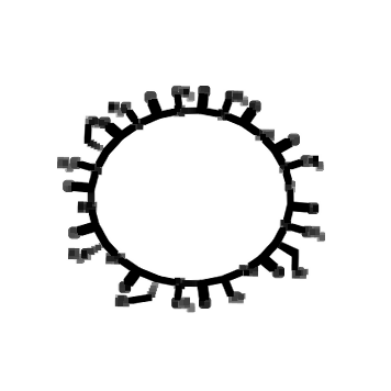 CC(C)C[C@@H]1C(=O)N(C)C(=O)N(C)C(=O)N(C)C(=O)NC(=O)N(C)CC(=O)N(C)[C@@H](CC(C)C)C(=O)NC(C(C)C)C(=O)N(C)[C@H](CC(C)C)C(=O)N[C@H](C)C(=O)NC(=O)N1C